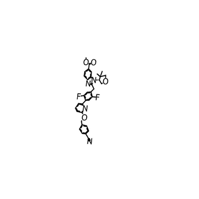 COC(=O)c1ccc2nc(Cc3cc(F)c(-c4cccc(OCc5ccc(C#N)cc5)n4)cc3F)n([C@@H]3COCC3(C)C)c2c1